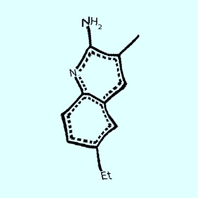 CCc1ccc2nc(N)c(C)cc2c1